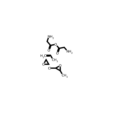 C1CO1.C=CC.CC1OC1Cl.NCC(=O)OC(=O)CN